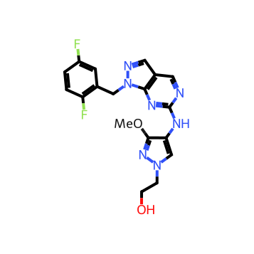 COc1nn(CCO)cc1Nc1ncc2cnn(Cc3cc(F)ccc3F)c2n1